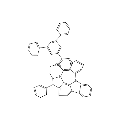 C/C=C\c1c(C2=CC=CCC2)c2ccc3c4ccccc4n(-c4ccccc4)c3c2n1-c1cccc(-c2cc(-c3ccccc3)cc(-c3ccccc3)c2)c1